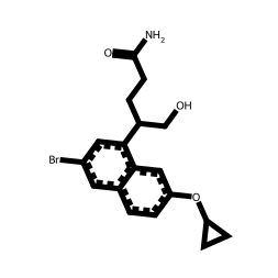 NC(=O)CCC(CO)c1cc(Br)cc2ccc(OC3CC3)cc12